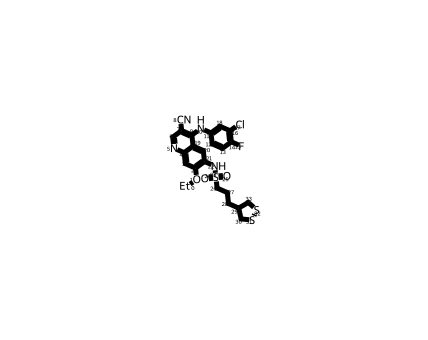 CCOc1cc2ncc(C#N)c(Nc3ccc(F)c(Cl)c3)c2cc1NS(=O)(=O)CCCC1CSSC1